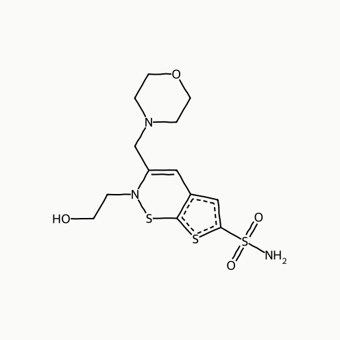 NS(=O)(=O)c1cc2c(s1)SN(CCO)C(CN1CCOCC1)=C2